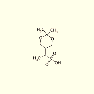 CC(C1COC(C)(C)OC1)S(=O)(=O)O